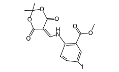 COC(=O)c1cc(I)ccc1NC=C1C(=O)OC(C)(C)OC1=O